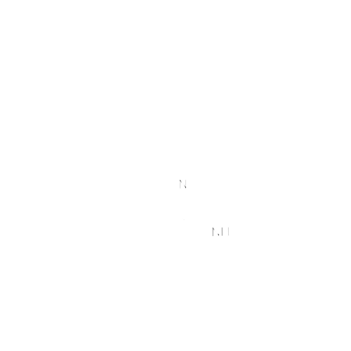 N=C1CCCC2CCCN12